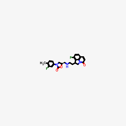 Cc1ccc(N2C[C@@H](CNCCC3Cn4c(=O)ccc5ccc(F)c3c54)OC2=O)cc1F